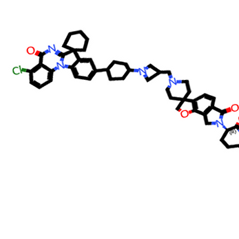 O=C1CC[C@@H](N2Cc3c(ccc4c3OCC43CCN(CC4CN(C5CCC(c6ccc7c(c6)C6(CCCCC6)c6nc(=O)c8c(Cl)cccc8n6-7)CC5)C4)CC3)C2=O)C(=O)N1